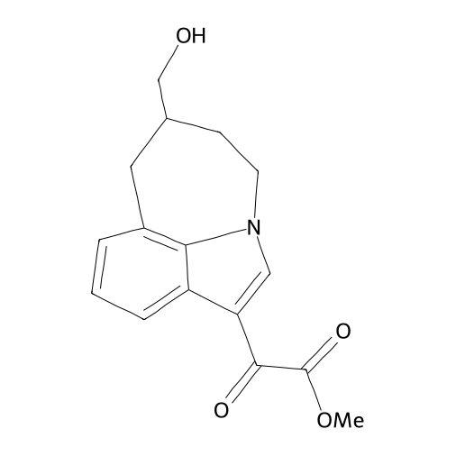 COC(=O)C(=O)c1cn2c3c(cccc13)CC(CO)CC2